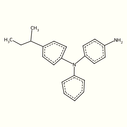 CCC(C)c1ccc(N(c2ccccc2)c2ccc(N)cc2)cc1